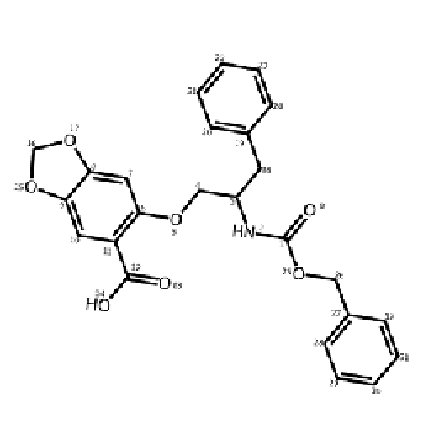 O=C(NC(COc1cc2c(cc1C(=O)O)OCO2)Cc1ccccc1)OCc1ccccc1